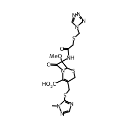 CO[C@]1(NC(=O)CSCn2cnnn2)C(=O)N2C(C(=O)O)=C(CSc3ncnn3C)CSC21